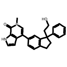 Cn1cc(-c2ccc3c(c2)C(CCO)(c2ccccc2)CC3)c2cc[nH]c2c1=O